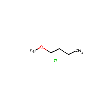 CCCC[O][Fe+].[Cl-]